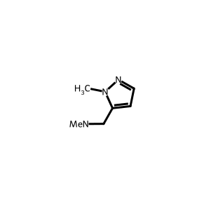 CNCc1ccnn1C